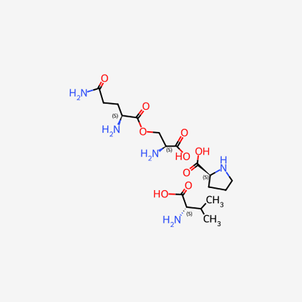 CC(C)[C@H](N)C(=O)O.NC(=O)CC[C@H](N)C(=O)OC[C@H](N)C(=O)O.O=C(O)[C@@H]1CCCN1